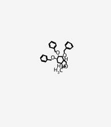 CN1OC[C@H]2[C@H](OCc3ccccc3)[C@@H](OCc3ccccc3)[C@H](OCc3ccccc3)C[C@@H]21